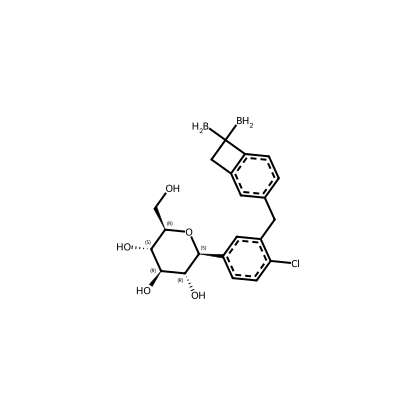 BC1(B)Cc2cc(Cc3cc([C@@H]4O[C@H](CO)[C@@H](O)[C@H](O)[C@H]4O)ccc3Cl)ccc21